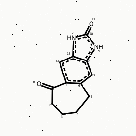 O=C1[CH]CCCc2cc3[nH]c(=O)[nH]c3cc21